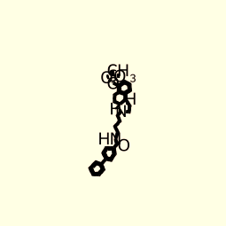 CS(=O)(=O)Oc1cccc2c1CC[C@@H]1[C@@H]2CCN1CCCCNC(=O)c1ccc(-c2ccccc2)cc1